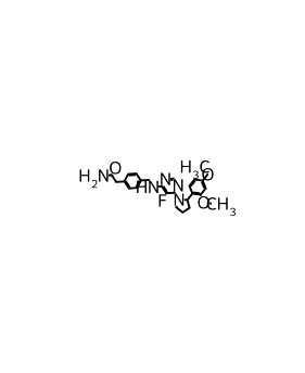 COc1ccc(C2CCCN2c2ncnc(NCc3ccc(CC(N)=O)cc3)c2F)c(OC)c1